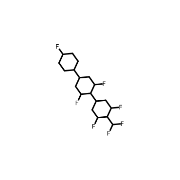 FC1CCC(C2CC(F)C(C3CC(F)C(C(F)F)C(F)C3)C(F)C2)CC1